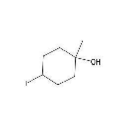 CC1(O)CCC(I)CC1